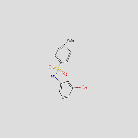 CCCCc1ccc(S(=O)(=O)Nc2cccc(O)c2)cc1